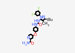 Cc1c(C(C)(C)C)nn(-c2cc(F)cc(F)c2)c1NC(=O)Nc1ccc(Oc2ccnc(C(N)=O)c2)cc1